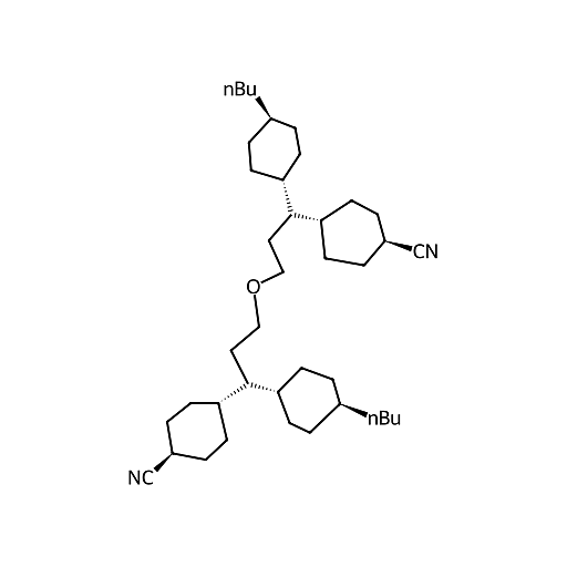 CCCC[C@H]1CC[C@H](C(CCOCCC([C@H]2CC[C@H](C#N)CC2)[C@H]2CC[C@H](CCCC)CC2)[C@H]2CC[C@H](C#N)CC2)CC1